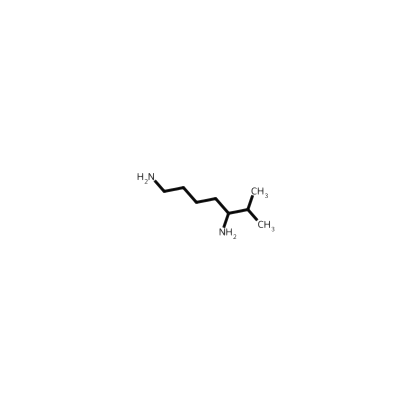 CC(C)C(N)CCCCN